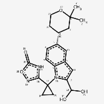 CC1(C)C[C@H](c2ccc3c(c2)cc(C(O)O)n3C2(c3noc(=O)[nH]3)CC2)CCO1